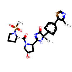 Cc1ncsc1-c1ccc([C@]2(C)NC(C3C[C@@H](O)CN3C(=O)[C@@H]3CCCN3S(C)(=O)=O)=NC2=O)cc1